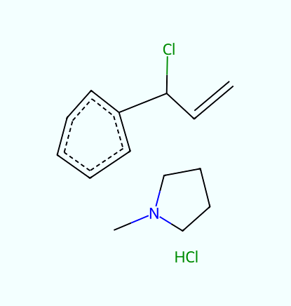 C=CC(Cl)c1ccccc1.CN1CCCC1.Cl